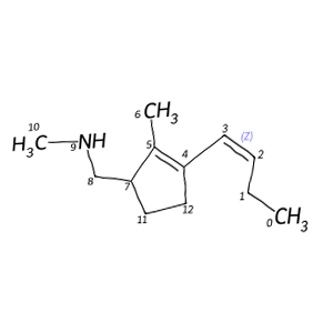 CC/C=C\C1=C(C)C(CNC)CC1